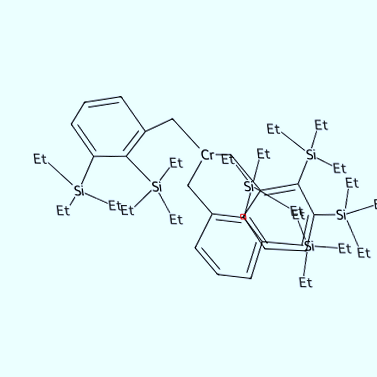 CC[Si](CC)(CC)c1cccc([CH2][Cr]([CH2]c2cccc([Si](CC)(CC)CC)c2[Si](CC)(CC)CC)[CH2]c2cccc([Si](CC)(CC)CC)c2[Si](CC)(CC)CC)c1[Si](CC)(CC)CC